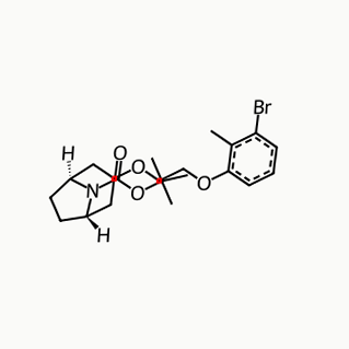 Cc1c(Br)cccc1OCCOC1C[C@@H]2CC[C@@H](C1)N2C(=O)OC(C)(C)C